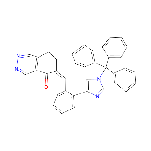 O=C1C(=Cc2ccccc2-c2cn(C(c3ccccc3)(c3ccccc3)c3ccccc3)cn2)CCc2cnncc21